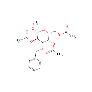 CO[C@@H]1O[C@H](COC(C)=O)[C@H](OC(C)=O)[C@H](OCc2ccccc2)[C@H]1OC(C)=O